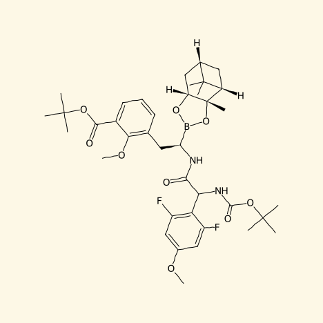 COc1cc(F)c(C(NC(=O)OC(C)(C)C)C(=O)N[C@@H](Cc2cccc(C(=O)OC(C)(C)C)c2OC)B2O[C@@H]3C[C@@H]4C[C@@H](C4(C)C)[C@]3(C)O2)c(F)c1